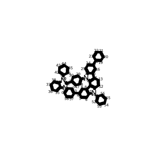 c1ccc(-c2ccc3c(c2)c2c(ccc4c5cc(-c6ccccc6)ccc5n(-c5ccc(-c6nc7ccccc7n6-c6ccccc6)cc5)c42)n3-c2ccccc2)cc1